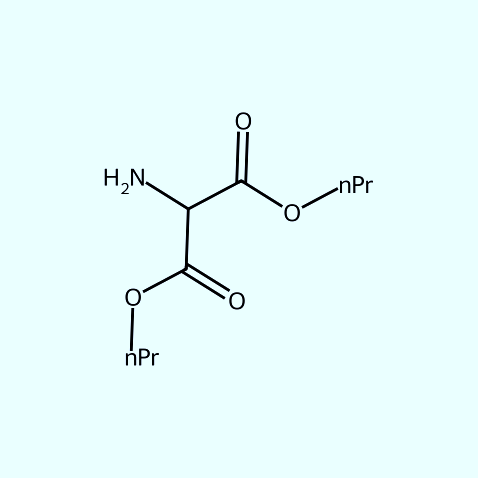 CCCOC(=O)C(N)C(=O)OCCC